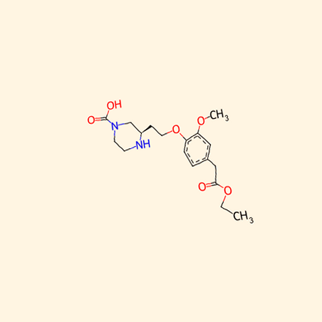 CCOC(=O)Cc1ccc(OCC[C@@H]2CN(C(=O)O)CCN2)c(OC)c1